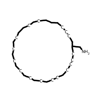 NCC1CCCCCCCCCCCCCCCCCCCCCCCCCCCCCCC1